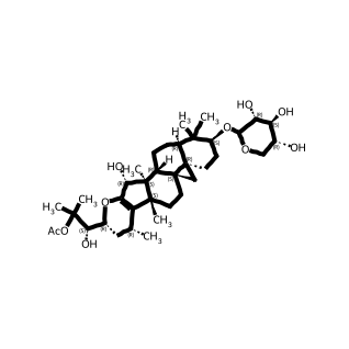 CC(=O)OC(C)(C)[C@@H](O)[C@H]1C[C@@H](C)C2=C(O1)[C@H](O)[C@@]1(C)[C@@H]3CC[C@H]4C(C)(C)[C@@H](OC5OC[C@@H](O)[C@H](O)[C@H]5O)CC[C@@]45C[C@@]35CC[C@]21C